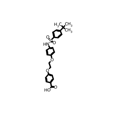 CC(C)(C)c1ccc(S(=O)(=O)Nc2ccc(OCCOc3ccc(C(=O)O)cc3)cc2)cc1